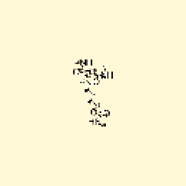 CNC(=O)OCCCCC(COC(=O)NC)OC(=O)NC